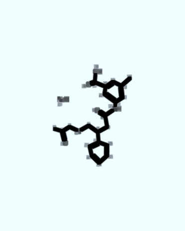 CC(=O)CSCC(CC(=O)Nc1cc(C)cc(C(=O)O)c1)c1ccccc1.[NaH]